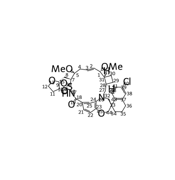 CO[C@H]1/C=C/C[C@H](OC)[C@H](C[C@@H]2CCCO2)S(=O)(=O)NC(=O)c2ccc3c(c2)N(C[C@@H]2CC[C@H]21)C[C@@]1(CCCc2cc(Cl)ccc21)CO3